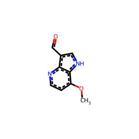 COc1ccnc2c(C=O)c[nH]c12